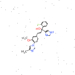 COc1cc(C=CC(O)(c2c[nH]cn2)c2ccccc2F)ccc1-n1cnc(C)c1